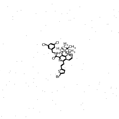 CC(C)(C)[Si](C)(C)Oc1c(C(=O)NCc2cc(Cl)cc(Cl)c2)nc(C=Cc2ccc(Br)s2)c2ccnnc12